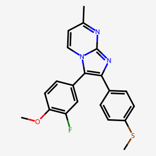 COc1ccc(-c2c(-c3ccc(SC)cc3)nc3nc(C)ccn23)cc1F